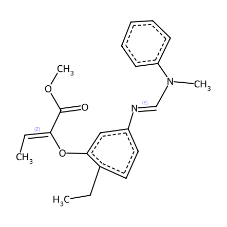 C/C=C(\Oc1cc(/N=C/N(C)c2ccccc2)ccc1CC)C(=O)OC